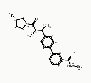 C[C@@H](c1ccc(-c2cccc(C(=O)NC(C)(C)C)c2)cc1)C(N)C(=O)N1CC[C@H](F)C1